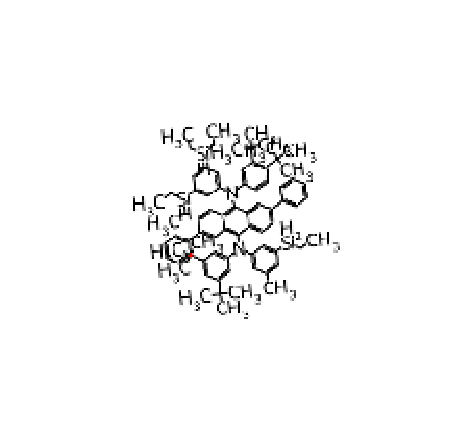 CC[SiH2]c1cc(C)cc(N(c2cc(C(C)(C)C)cc(C(C)(C)C)c2)c2c3ccc(-c4ccccc4)cc3c(N(c3cc([SiH](CC)CC)cc([SiH](CC)CC)c3)c3ccc(C(C)(C)C)c(C(C)(C)C)c3)c3ccc(-c4ccccc4)cc23)c1